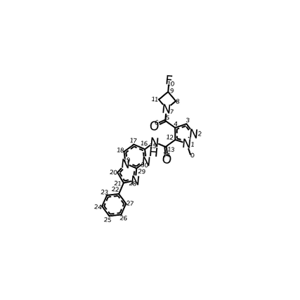 Cn1ncc(C(=O)N2CC(F)C2)c1C(=O)Nc1ccn2cc(-c3ccccc3)nc2n1